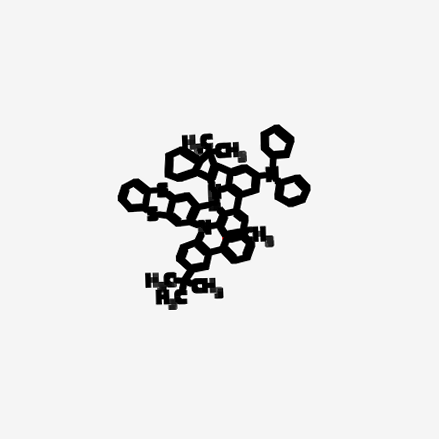 Cc1cc2c3c(c1)N(c1ccc(C(C)(C)C)cc1-c1ccccc1)c1cc4c(cc1B3n1c3c(c5cc(N(c6ccccc6)c6ccccc6)cc-2c51)C(C)(C)c1ccccc1-3)Sc1ccccc1S4